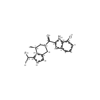 C[C@H]1CN(C(=O)c2nc3cccc(Cl)c3[nH]2)Cc2cnc(C(F)F)n21